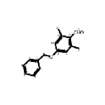 Cc1cc(OCc2ccccc2)cc(C)c1C=O